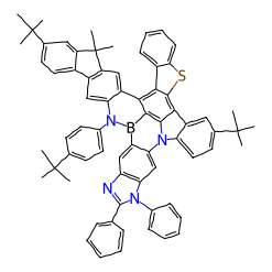 CC(C)(C)c1ccc(N2B3c4cc5nc(-c6ccccc6)n(-c6ccccc6)c5cc4-n4c5ccc(C(C)(C)C)cc5c5c6sc7ccccc7c6c(c3c54)-c3cc4c(cc32)-c2ccc(C(C)(C)C)cc2C4(C)C)cc1